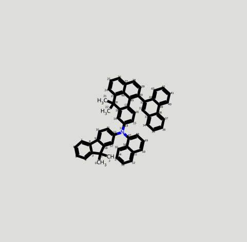 CC1(C)c2ccccc2-c2ccc(N(c3ccc4c(c3)C(C)(C)c3cccc5ccc(-c6cc7ccccc7c7ccccc67)c-4c35)c3cccc4ccccc34)cc21